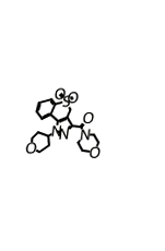 O=C(c1nn(C2CCOCC2)c2c1CS(=O)(=O)c1ccccc1-2)N1CCOCC1